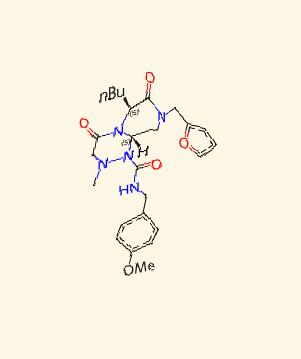 CCCC[C@H]1C(=O)N(Cc2ccco2)C[C@H]2N1C(=O)CN(C)N2C(=O)NCc1ccc(OC)cc1